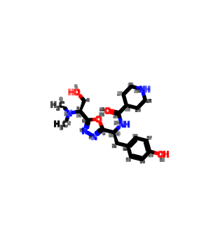 CN(C)[C@@H](CO)c1nnc([C@H](Cc2ccc(O)cc2)NC(=O)C2CCNCC2)o1